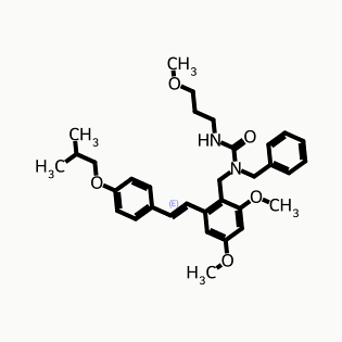 COCCCNC(=O)N(Cc1ccccc1)Cc1c(/C=C/c2ccc(OCC(C)C)cc2)cc(OC)cc1OC